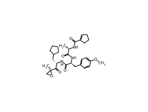 COc1ccc(C[C@H](NC(=O)[C@@H](C)NC(=O)C2=CCCC2)C(=O)N[C@@H](CC2CCCC2)C(=O)[C@@]2(C)CO2)cc1